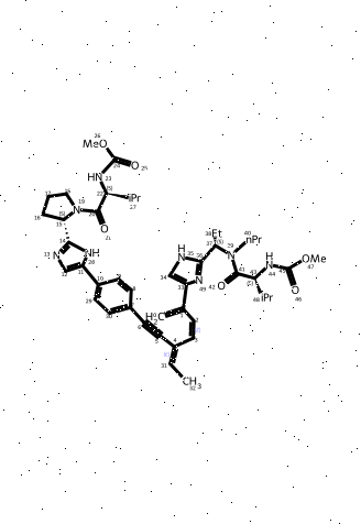 C=C(/C=C\C(C#Cc1ccc(-c2cnc([C@@H]3CCCN3C(=O)[C@@H](NC(=O)OC)C(C)C)[nH]2)cc1)=C/C)c1c[nH]c([C@H](CC)N(CCC)C(=O)[C@@H](NC(=O)OC)C(C)C)n1